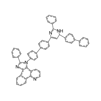 C1=C(c2ccc(-c3ccc(-n4c(-c5ccccc5)nc5c6ccccc6c6ncccc6c54)cc3)cc2)N=C(c2ccccc2)NC1c1ccc(-c2ccccc2)cc1